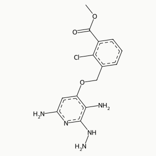 COC(=O)c1cccc(COc2cc(N)nc(NN)c2N)c1Cl